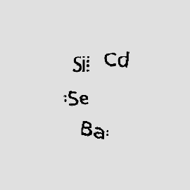 [Ba].[Cd].[Se].[Si]